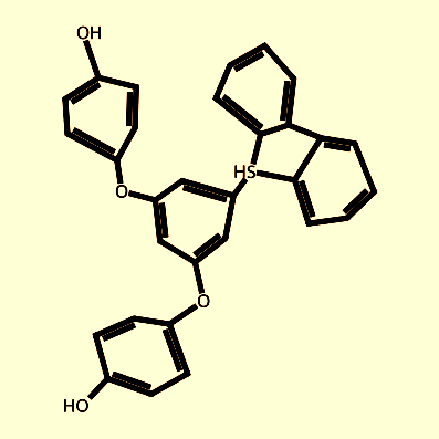 Oc1ccc(Oc2cc(Oc3ccc(O)cc3)cc([SH]3c4ccccc4-c4ccccc43)c2)cc1